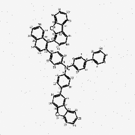 c1ccc(-c2ccc(N(c3ccc(-c4ccc5oc6ccccc6c5c4)cc3)c3ccc(-c4ccc5ccccc5c4-c4cccc5c4oc4ccccc45)cc3)cc2)cc1